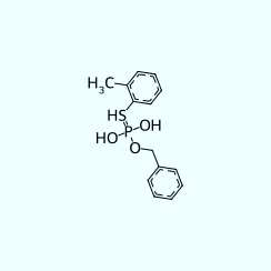 Cc1ccccc1[SH]=P(O)(O)OCc1ccccc1